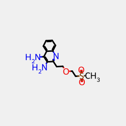 CS(=O)(=O)CCOCCc1nc2ccccc2c(N)c1N